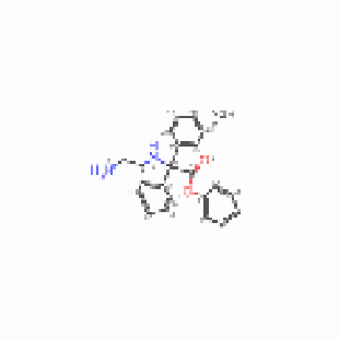 NCCNC(C(=O)Oc1ccccc1)(c1ccccc1)c1ccccc1.[NaH]